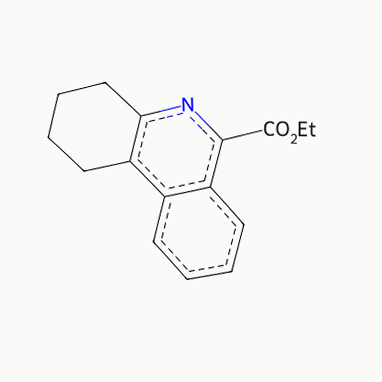 CCOC(=O)c1nc2c(c3ccccc13)CCCC2